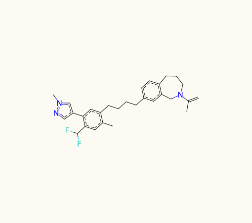 C=C(C)N1CCCc2ccc(CCCCc3cc(-c4cnn(C)c4)c(C(F)F)cc3C)cc2C1